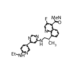 CCNc1ccc(-c2cc(NC[C@@H](C)c3cccc4c(C(=O)NC)c(F)cnc34)ncn2)cn1